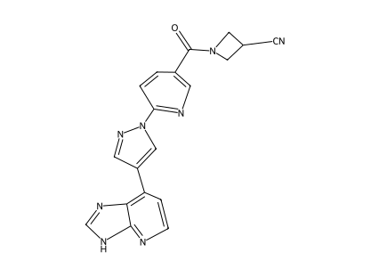 N#CC1CN(C(=O)c2ccc(-n3cc(-c4ccnc5[nH]cnc45)cn3)nc2)C1